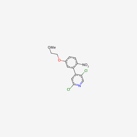 COCCOc1ccc([N+](=O)[O-])c(-c2cc(Cl)ncc2Cl)c1